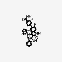 NC(=O)c1ccc(-c2cc3c(N[C@@H]4CN5CCC4CC5)c(-c4nc5ccccc5[nH]4)c(=O)[nH]c3cc2F)cc1